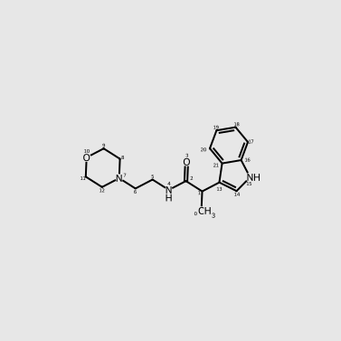 CC(C(=O)NCCN1CCOCC1)c1c[nH]c2ccccc12